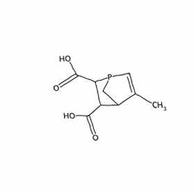 CC1=CP2CC1C(C(=O)O)C2C(=O)O